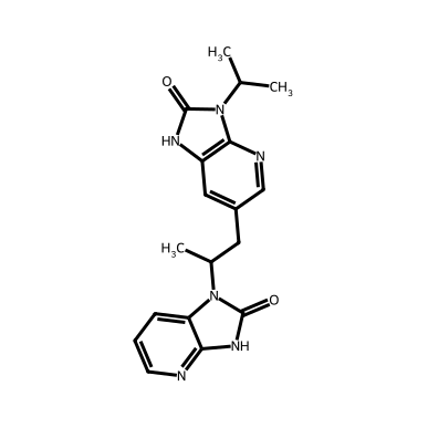 CC(C)n1c(=O)[nH]c2cc(CC(C)n3c(=O)[nH]c4ncccc43)cnc21